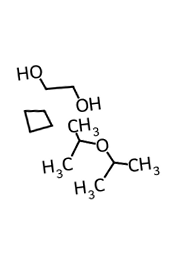 C1CCC1.CC(C)OC(C)C.OCCO